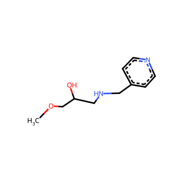 COCC(O)CNCc1ccncc1